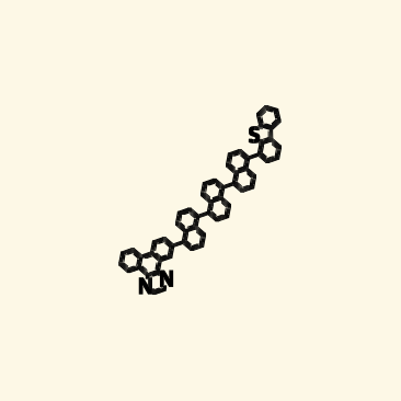 c1ccc2c(c1)sc1c(-c3cccc4c(-c5cccc6c(-c7cccc8c(-c9ccc%10c%11ccccc%11c%11nccnc%11c%10c9)cccc78)cccc56)cccc34)cccc12